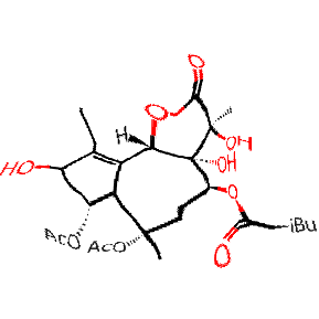 CC[C@H](C)C(=O)O[C@H]1C[C@](C)(OC(C)=O)C2C(=C(C)C(O)[C@H]2OC(C)=O)[C@@H]2OC(=O)[C@@](C)(O)[C@@]12O